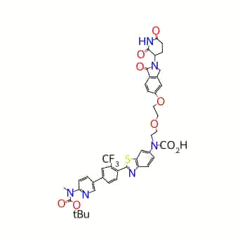 CN(C(=O)OC(C)(C)C)c1ccc(-c2ccc(-c3nc4ccc(N(CCOCCOc5ccc6c(c5)CN(C5CCC(=O)NC5=O)C6=O)C(=O)O)cc4s3)c(C(F)(F)F)c2)cn1